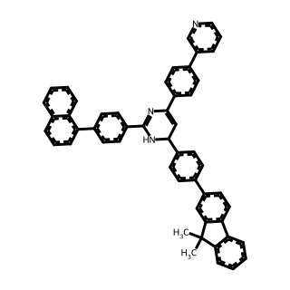 CC1(C)c2ccccc2-c2ccc(-c3ccc(C4C=C(c5ccc(-c6cccnc6)cc5)N=C(c5ccc(-c6cccc7ccccc67)cc5)N4)cc3)cc21